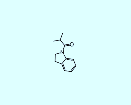 CC(C)C(=O)N1CCc2cc[c]cc21